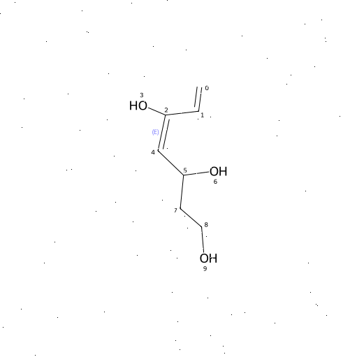 C=C/C(O)=C\C(O)CCO